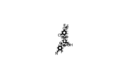 N#Cc1ccc(S(=O)(=O)[C@H]2CN(S(=O)(=O)c3ccc(OC(F)(F)F)cc3Cl)C[C@@]2(O)CO)cc1F